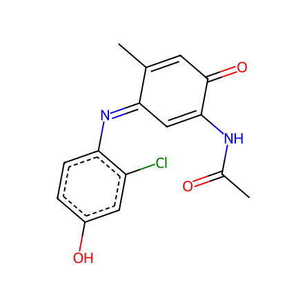 CC(=O)NC1=CC(=Nc2ccc(O)cc2Cl)C(C)=CC1=O